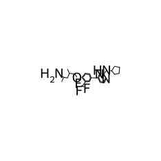 CC(N)CC(C)COc1ccc(-c2ccnc(NC3CCCC3)n2)cc1C(F)(F)F